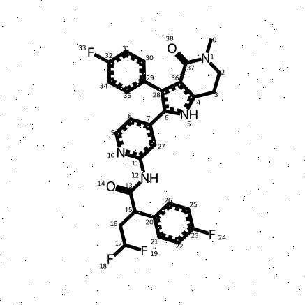 CN1CCc2[nH]c(-c3ccnc(NC(=O)C(CC(F)F)c4ccc(F)cc4)c3)c(-c3ccc(F)cc3)c2C1=O